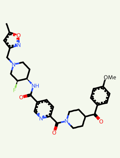 COc1ccc(C(=O)C2CCN(C(=O)c3ccc(C(=O)N[C@@H]4CCN(Cc5cc(C)on5)C[C@@H]4F)cn3)CC2)cc1